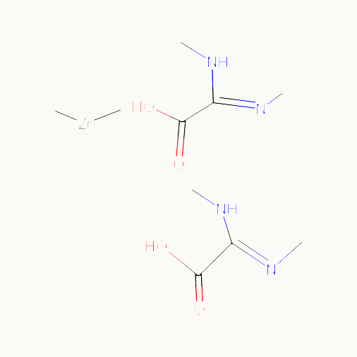 CN=C(NC)C(=O)O.CN=C(NC)C(=O)O.[CH3][Zr][CH3]